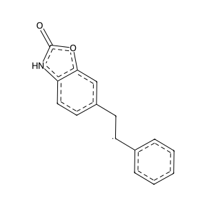 O=c1[nH]c2ccc(C[CH]c3ccccc3)cc2o1